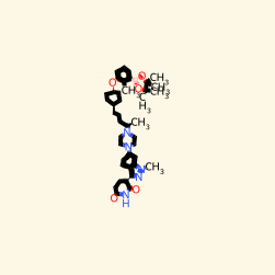 Cc1c(O[C@H]2CC[C@H](CCC[C@@H](C)N3CCN(c4ccc5c([C@H]6CCC(=O)NC6=O)nn(C)c5c4)CC3)CC2)cccc1B1OC(C)(C)C(C)(C)O1